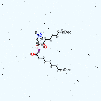 CCCCCCCCCCCCCCCCCC(=O)[P-]OC(C[N+](C)(C)C)C(=O)CCCCCCCCCCCCCCC